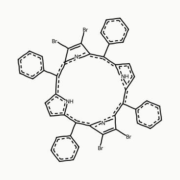 BrC1=C(Br)c2nc1c(-c1ccccc1)c1ccc([nH]1)c(-c1ccccc1)c1nc(c(-c3ccccc3)c3ccc([nH]3)c2-c2ccccc2)C(Br)=C1Br